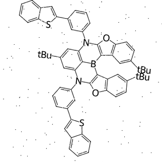 CC(C)(C)c1cc2c3c(c1)N(c1cccc(-c4cc5ccccc5s4)c1)c1oc4ccc(C(C)(C)C)cc4c1B3c1c(oc3ccc(C(C)(C)C)cc13)N2c1cccc(-c2cc3ccccc3s2)c1